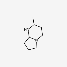 CC1CCN2CCCC2N1